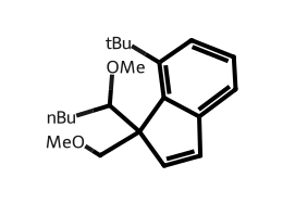 CCCCC(OC)C1(COC)C=Cc2cccc(C(C)(C)C)c21